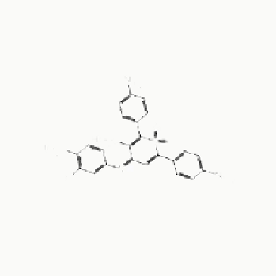 O=C(O)C1=C(c2ccc([N+](=O)[O-])cc2)S(=O)(=O)C(c2ccc([N+](=O)[O-])cc2)=C/C1=N/c1ccc(C(=O)O)c(C(F)(F)F)c1